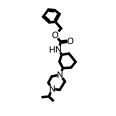 CC(C)N1CCN(C2CCCC(NC(=O)OCc3ccccc3)C2)CC1